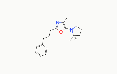 Cc1nc(CCCc2ccccc2)oc1N1CCC[C@@H]1C